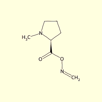 C=NOC(=O)[C@@H]1CCCN1C